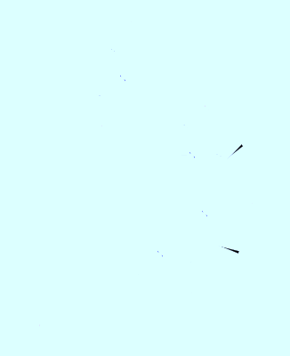 C[C@H](NC(=O)CCN1C(=O)C=CC1=O)C(=O)N[C@@H](C)C(=O)Nc1ccc(CO)cc1